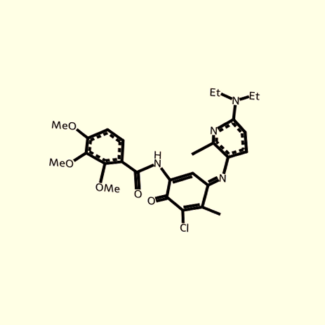 CCN(CC)c1ccc(/N=C2\C=C(NC(=O)c3ccc(OC)c(OC)c3OC)C(=O)C(Cl)=C2C)c(C)n1